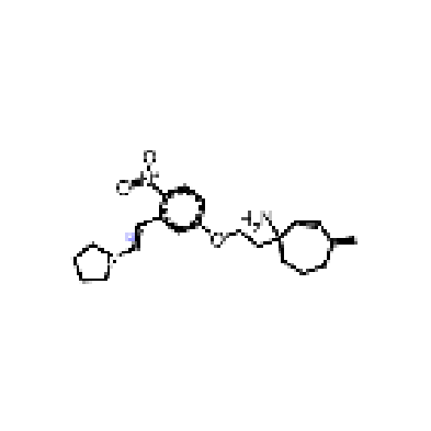 C=C1C=CC(N)(CCOc2ccc([N+](=O)[O-])c(/C=C/N3CCCC3)c2)CCC1